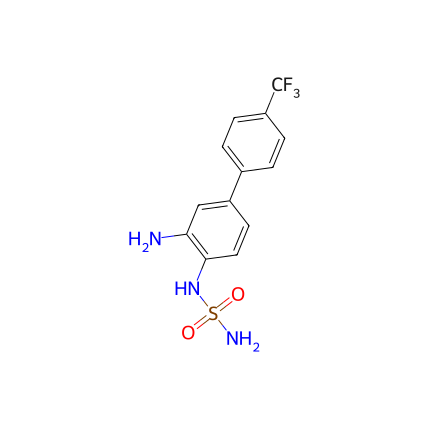 Nc1cc(-c2ccc(C(F)(F)F)cc2)ccc1NS(N)(=O)=O